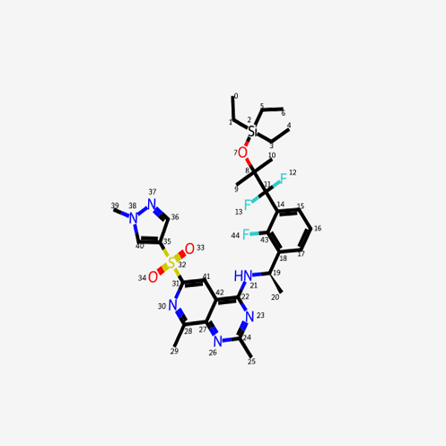 CC[Si](CC)(CC)OC(C)(C)C(F)(F)c1cccc([C@@H](C)Nc2nc(C)nc3c(C)nc(S(=O)(=O)c4cnn(C)c4)cc23)c1F